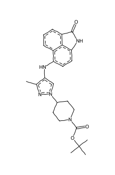 Cc1nn(C2CCN(C(=O)OC(C)(C)C)CC2)cc1Nc1ccc2c3c(cccc13)C(=O)N2